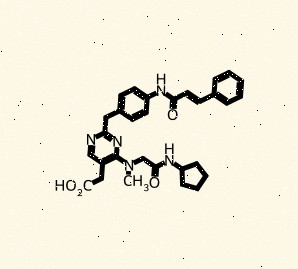 CN(CC(=O)NC1CCCC1)c1nc(Cc2ccc(NC(=O)C=Cc3ccccc3)cc2)ncc1CC(=O)O